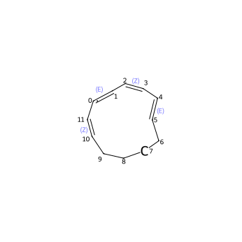 [C]1=C/C=C\C=C\CCCC\C=C/1